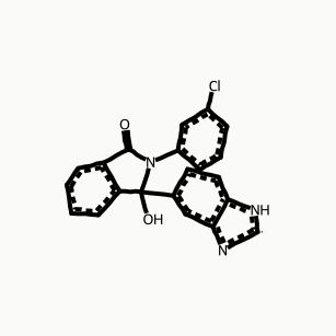 O=C1c2ccccc2C(O)(c2ccc3[nH][c]nc3c2)N1c1cccc(Cl)c1